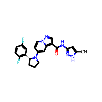 N#Cc1cc(NC(=O)c2cnn3ccc(N4CCC[C@@H]4c4cc(F)ccc4F)cc23)n[nH]1